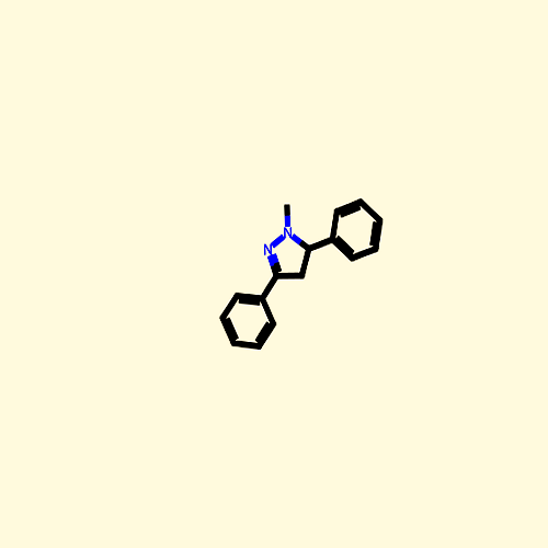 CN1N=C(c2ccccc2)CC1c1ccccc1